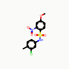 COc1ccc(S(=O)(=O)Nc2ccc(C)c(Cl)c2)c([N+](=O)[O-])c1